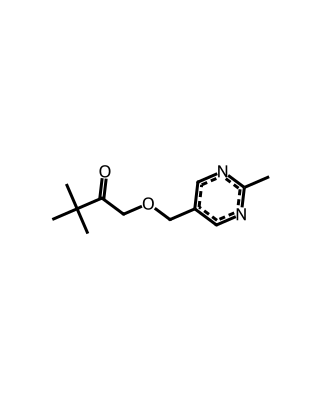 Cc1ncc(COCC(=O)C(C)(C)C)cn1